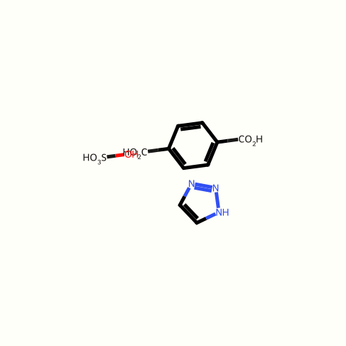 O=C(O)c1ccc(C(=O)O)cc1.O=S(=O)(O)O.c1c[nH]nn1